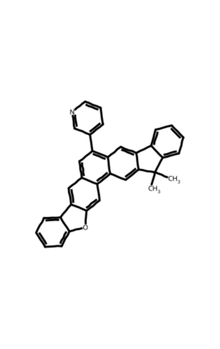 CC1(C)c2ccccc2-c2cc3c(-c4cccnc4)cc4cc5c(cc4c3cc21)oc1ccccc15